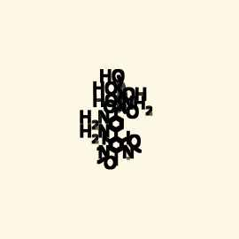 CC(=O)N(C)c1c(I)c(-c2ccc(C(=O)[C@](N)(C=O)[C@@H](O)[C@H](O)[C@H](O)CO)c(N)c2N)c(I)c(N(C)C(C)=O)c1I